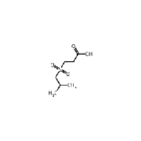 CC(C)CS(=O)(=O)CCC(=O)O